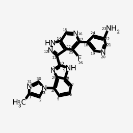 Cc1cn(-c2cccc3[nH]c(-c4n[nH]c5cnc(-c6cncc(N)c6)c(F)c45)nc23)cn1